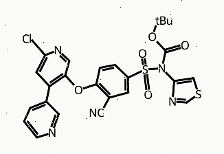 CC(C)(C)OC(=O)N(c1cscn1)S(=O)(=O)c1ccc(Oc2cnc(Cl)cc2-c2cccnc2)c(C#N)c1